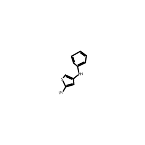 CC(C)c1cc(Pc2ccccc2)cs1